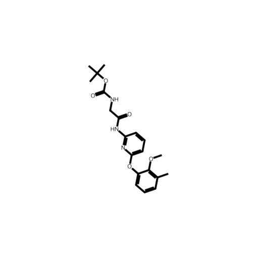 COc1c(C)cccc1Oc1cccc(NC(=O)CNC(=O)OC(C)(C)C)n1